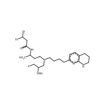 CCC(CC)CC(=O)NC(CCN(CCCCc1ccc2c(n1)NCCC2)CC(CF)OC)C(=O)O